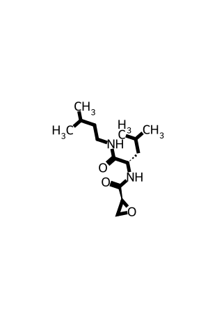 CC(C)CCNC(=O)[C@H](CC(C)C)NC(=O)[C@@H]1CO1